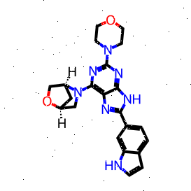 c1cc2ccc(-c3nc4c(N5C[C@@H]6C[C@H]5CO6)nc(N5CCOCC5)nc4[nH]3)cc2[nH]1